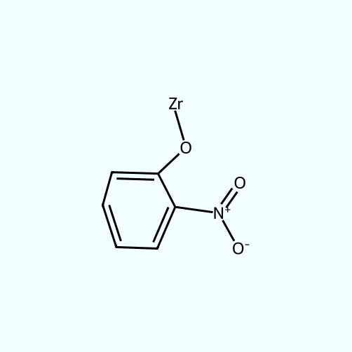 O=[N+]([O-])c1ccccc1[O][Zr]